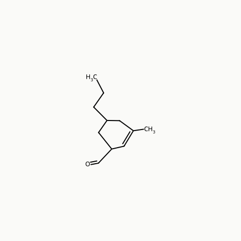 CCCC1CC(C)=CC(C=O)C1